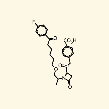 CC(COCCCCCC(=O)c1ccc(F)cc1)N1C(=O)CC1[S+]([O-])Cc1ccc(C(=O)O)cc1